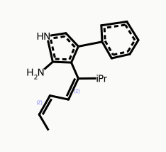 C/C=C\C=C(/c1c(-c2ccccc2)c[nH]c1N)C(C)C